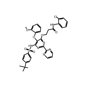 COc1ccccc1Oc1c(NS(=O)(=O)c2ccc(C(C)(C)C)cc2)nc(-c2ncccn2)nc1OCCC(=O)Nc1ccccc1Cl